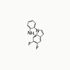 Nc1ccccc1-n1ccc2cc(F)c(F)cc21